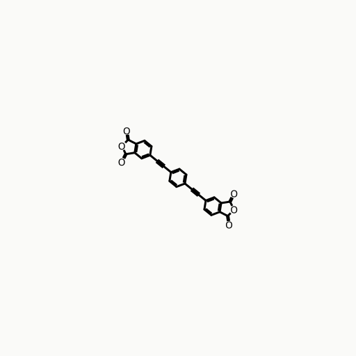 O=C1OC(=O)c2cc(C#Cc3ccc(C#Cc4ccc5c(c4)C(=O)OC5=O)cc3)ccc21